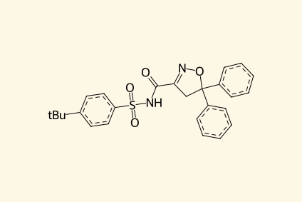 CC(C)(C)c1ccc(S(=O)(=O)NC(=O)C2=NOC(c3ccccc3)(c3ccccc3)C2)cc1